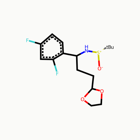 CC(C)(C)[S@+]([O-])NC(CCC1OCCO1)c1ccc(F)cc1F